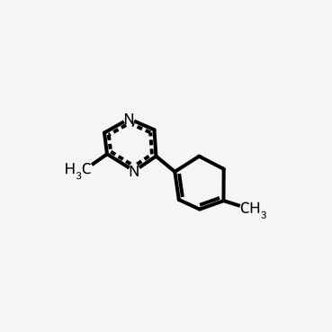 CC1=CC=C(c2cncc(C)n2)CC1